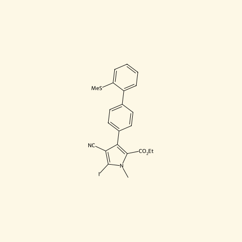 CCOC(=O)c1c(-c2ccc(-c3ccccc3SC)cc2)c(C#N)c(I)n1C